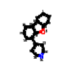 [c]1cccc2oc3c(-c4ccncc4)cccc3c12